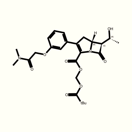 C[C@@H](O)[C@H]1C(=O)N2C(C(=O)OCOC(=O)C(C)(C)C)=C(c3cccc(OCC(=O)N(C)C)c3)C[C@H]12